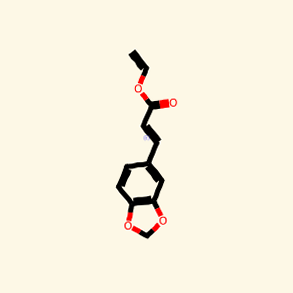 C=COC(=O)/C=C/c1ccc2c(c1)OCO2